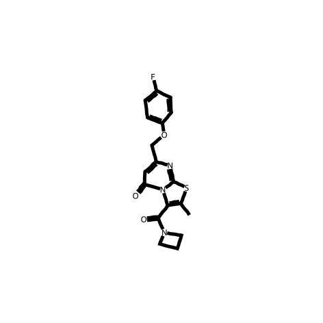 Cc1sc2nc(COc3ccc(F)cc3)cc(=O)n2c1C(=O)N1CCC1